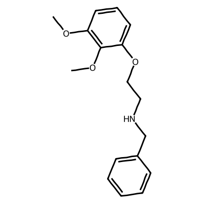 COc1cccc(OCCNCc2ccccc2)c1OC